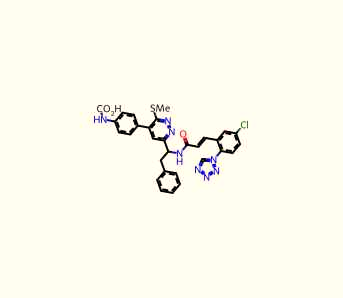 CSc1nnc(C(Cc2ccccc2)NC(=O)C=Cc2cc(Cl)ccc2-n2cnnn2)cc1-c1ccc(NC(=O)O)cc1